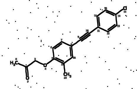 CC(=O)COc1ccc(C#Cc2ccc(Cl)cc2)cc1C